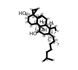 CC(C)CCC[C@@H](C)[C@H]1CC[C@H]2[C@@H]3CC=C4C5(CC5)[C@@H](O)CC[C@]4(C)[C@H]3[C@H](O)C[C@]12C